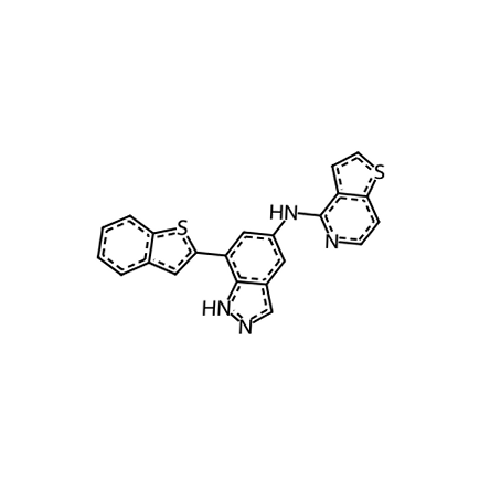 c1ccc2sc(-c3cc(Nc4nccc5sccc45)cc4cn[nH]c34)cc2c1